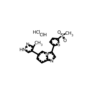 Cc1n[nH]cc1-c1ccc2ncc(-c3ccc(S(C)(=O)=O)s3)n2c1.Cl.Cl